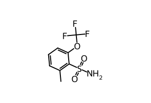 Cc1cccc(OC(F)(F)F)c1S(N)(=O)=O